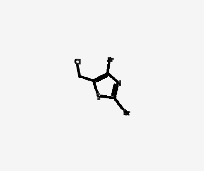 ClCc1sc(Br)nc1Br